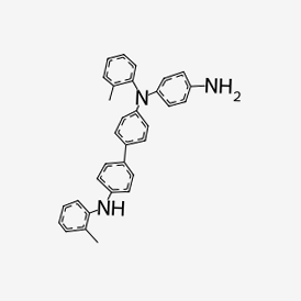 Cc1ccccc1Nc1ccc(-c2ccc(N(c3ccc(N)cc3)c3ccccc3C)cc2)cc1